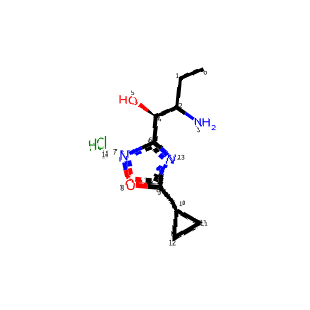 CCC(N)[C@H](O)c1noc(C2CC2)n1.Cl